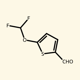 O=Cc1ccc(OC(F)F)s1